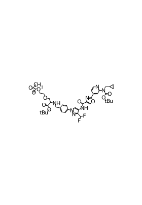 CC(C)(C)OC(=O)C(COCCOS(C)(=O)=O)NCc1ccc(-n2cc(NC(=O)c3coc(-c4ccnc(N(CC5CC5)C(=O)OC(C)(C)C)c4)n3)c(C(F)F)n2)cc1